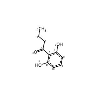 CCCC(=O)c1c(O)cccc1O